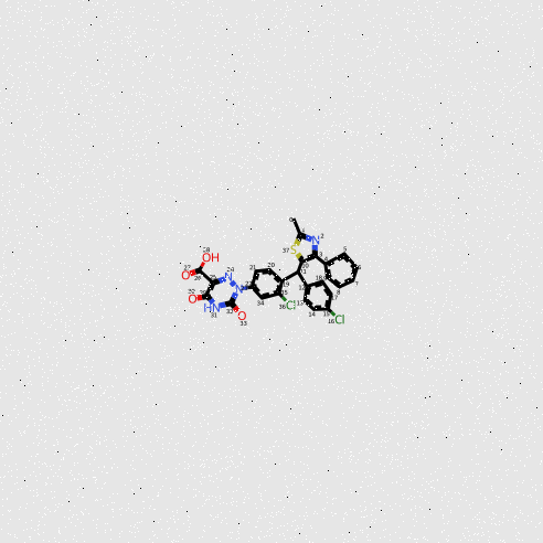 Cc1nc(-c2ccccc2)c(C(c2ccc(Cl)cc2)c2ccc(-n3nc(C(=O)O)c(=O)[nH]c3=O)cc2Cl)s1